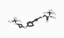 CN(C(=O)COCC#Cc1ccc(OC2CC(OC(C)(C)C)C2)cc1)C(C)(C)C